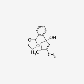 CC1=CC(O)(c2ccccc2C2OCCO2)CC1C